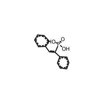 O=P(O)(O)/C(=C\c1ccccc1)c1ccccc1